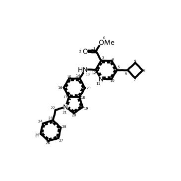 COC(=O)c1cc(C2CCC2)cnc1Nc1ccc2c(ccn2Cc2ccccc2)c1